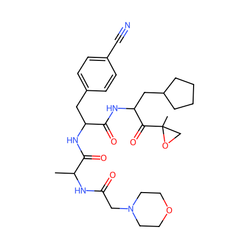 CC(NC(=O)CN1CCOCC1)C(=O)NC(Cc1ccc(C#N)cc1)C(=O)NC(CC1CCCC1)C(=O)C1(C)CO1